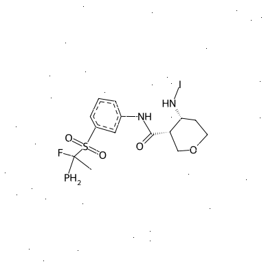 CC(F)(P)S(=O)(=O)c1cccc(NC(=O)[C@H]2COCC[C@H]2NI)c1